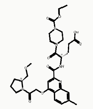 CCOC(=O)N1CCN(C(=O)[C@H](CCC(=O)O)NC(=O)c2cc(OCC(=O)N3CCC[C@H]3COC)c3ccc(C)cc3n2)CC1